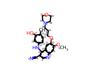 COc1cc2ncc(C#N)c(Nc3ccc(C)c(O)c3)c2cc1OCCCN1CCOCC1